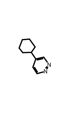 c1cc(C2CCCCC2)cnn1